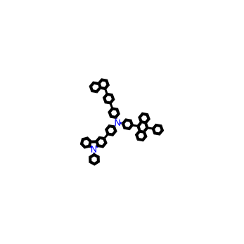 c1ccc(-c2c3ccccc3c(-c3ccc(N(c4ccc(-c5ccc(-c6cccc7ccccc67)cc5)cc4)c4ccc(-c5ccc6c(c5)c5ccccc5n6-c5ccccc5)cc4)cc3)c3ccccc23)cc1